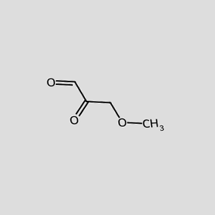 COCC(=O)C=O